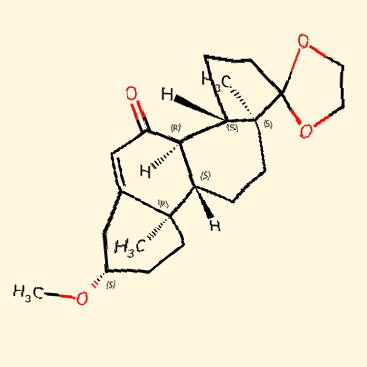 CO[C@H]1CC[C@@]2(C)C(=CC(=O)[C@@H]3[C@@H]2CC[C@@]2(C)[C@H]3CCC23OCCO3)C1